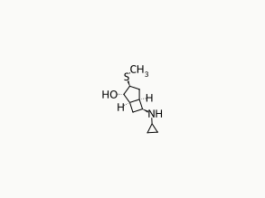 CS[C@H]1C[C@@H]2[C@@H](C[C@@H]2NC2CC2)[C@@H]1O